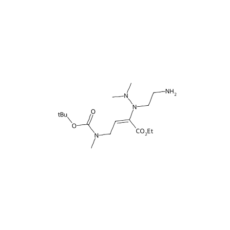 CCOC(=O)/C(=C\CN(C)C(=O)OC(C)(C)C)N(CCN)N(C)C